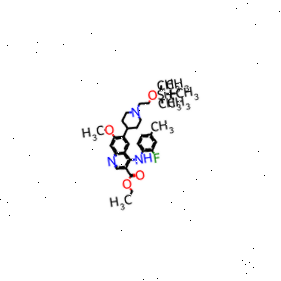 CCOC(=O)c1cnc2cc(OC)c(C3CCN(CCO[Si](C)(C)C(C)(C)C)CC3)cc2c1Nc1ccc(C)cc1F